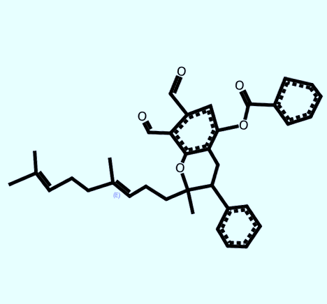 CC(C)=CCC/C(C)=C/CCC1(C)Oc2c(C=O)c(C=O)cc(OC(=O)c3ccccc3)c2CC1c1ccccc1